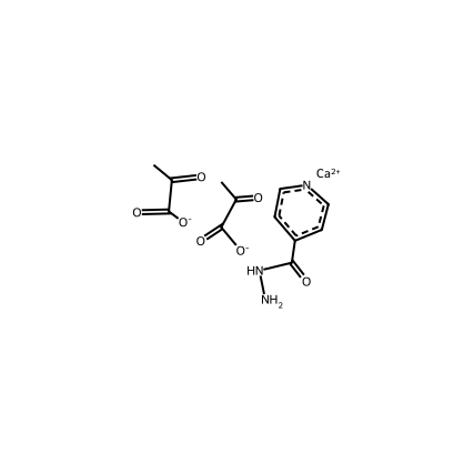 CC(=O)C(=O)[O-].CC(=O)C(=O)[O-].NNC(=O)c1ccncc1.[Ca+2]